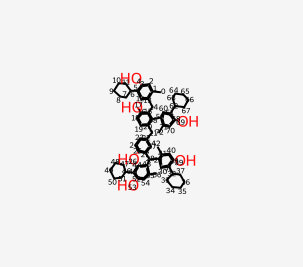 Cc1cc(O)c(C2CCCCC2)cc1Cc1c(O)ccc(Cc2ccc(O)c(C(c3cc(C4CCCCC4)c(O)cc3C)c3cc(C4CCCCC4)c(O)cc3C)c2)c1-c1cc(C2CCCCC2)c(O)cc1C